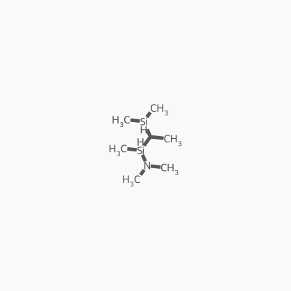 CC([SiH](C)C)[SiH](C)N(C)C